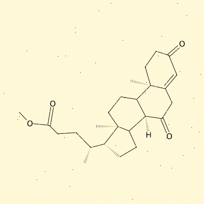 COC(=O)CC[C@@H](C)[C@H]1CCC2[C@@H]3C(=O)CC4=CC(=O)CC[C@]4(C)C3CC[C@@]21C